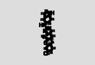 Cn1c(=O)c(Cc2ccc(Cl)cc2)cc2cnc(Nc3ccc4[nH]ccc4c3)nc21